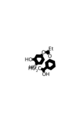 CCC(=O)Oc1ccc(O)c(O)c1.O=C(O)C(O)c1ccccc1